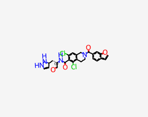 O=C[C@H](CC1C=CNN1)NC(=O)c1c(Cl)cc2c(c1Cl)CCN(C(=O)c1ccc3ccoc3c1)C2